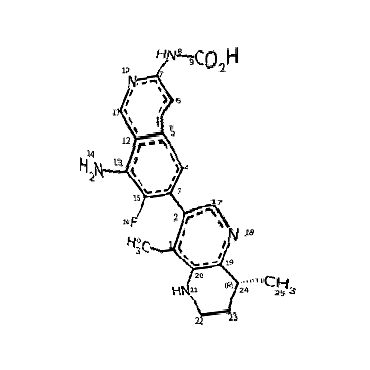 Cc1c(-c2cc3cc(NC(=O)O)ncc3c(N)c2F)cnc2c1NCC[C@H]2C